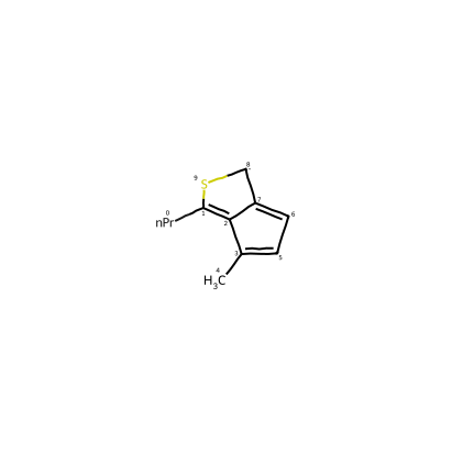 CCCC1=C2C(C)=CC=C2[CH]S1